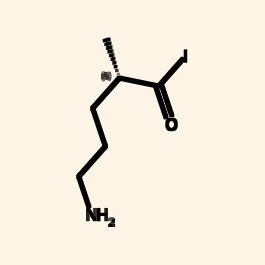 C[C@@H](CCCN)C(=O)I